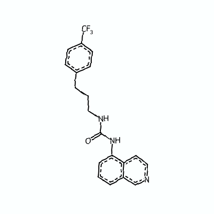 O=C(NCCCc1ccc(C(F)(F)F)cc1)Nc1cccc2cnccc12